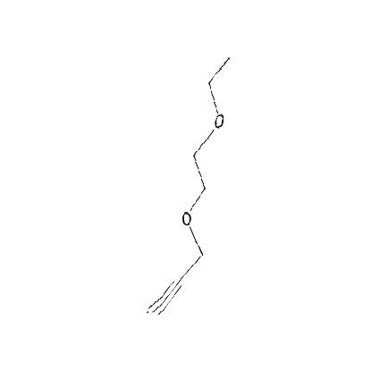 [C]#CCOCCOCC